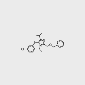 CCn1c(COCc2ccccc2)nc(C(C)C)c1Sc1cccc(Cl)c1